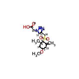 COc1cc(C)c(S(=O)(=O)Cc2cn(CC(=O)O)nn2)c(C)c1